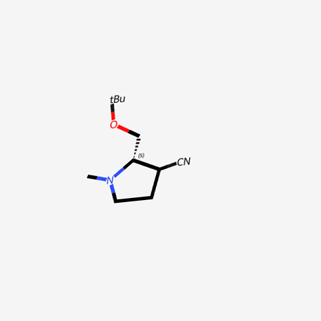 CN1CCC(C#N)[C@H]1COC(C)(C)C